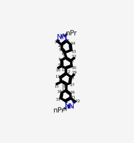 CCCn1ncc2cc(-c3cc(C)c(-c4cc(C)c(-c5ccc6c(cnn6CCC)c5)cc4C)cc3C)ccc21